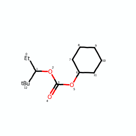 CCC(OC(=O)OC1CCCCC1)C(C)(C)C